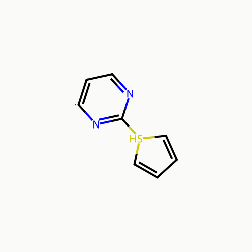 [c]1ccnc([SH]2C=CC=C2)n1